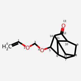 C=COCOC1C2CC3CC(C2)C(=O)C1C3